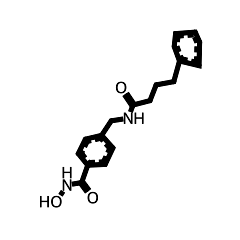 O=C(CCCc1ccccc1)NCc1ccc(C(=O)NO)cc1